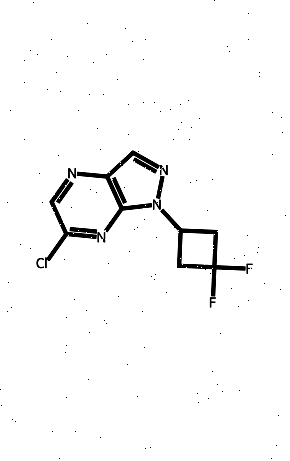 FC1(F)CC(n2ncc3ncc(Cl)nc32)C1